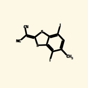 Cc1cc(I)c2c(c1I)SC(=C(C#N)C#N)S2